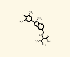 Cc1cc(-c2nc3cc(CNC(C(=O)O)C(C)C)ccc3n2C)cn(C)c1=O